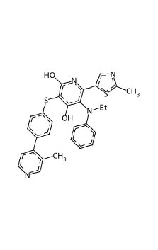 CCN(c1ccccc1)c1c(-c2cnc(C)s2)nc(O)c(Sc2ccc(-c3ccncc3C)cc2)c1O